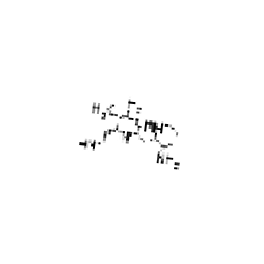 C=C(C)C(=C/C=N)/N=C(\C)CC1NCCCC1N